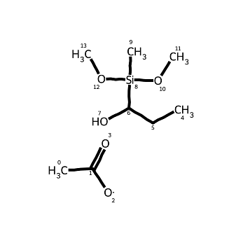 CC([O])=O.CCC(O)[Si](C)(OC)OC